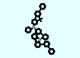 CC1(C)c2cc(-c3ccccc3)ccc2-c2ccc(N(c3ccccc3)c3ccc(-c4ccccc4-n4c5ccccc5c5cccc(-c6cccc(-c7ccccc7)c6)c54)cc3)cc21